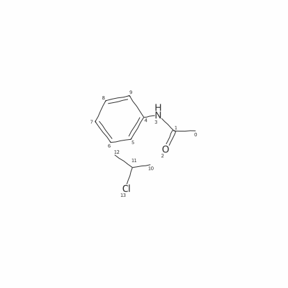 CC(=O)Nc1ccccc1.CC(C)Cl